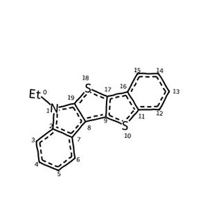 CCn1c2ccccc2c2c3sc4ccccc4c3sc21